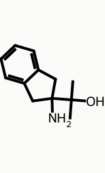 CC(C)(O)C1(N)Cc2ccccc2C1